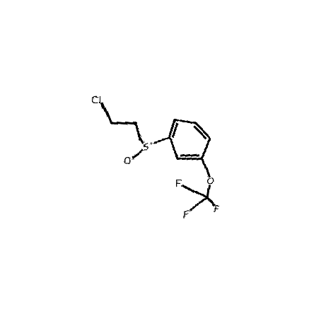 [O-][S+](CCCl)c1cccc(OC(F)(F)F)c1